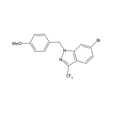 COc1ccc(Cn2nc(C(F)(F)F)c3ccc(Br)cc32)cc1